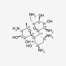 C[C@H]1O[C@@H]([C@@H]2[C@@H](O)[C@H](N)C[C@H](N)[C@H]2[C@H]2O[C@H](CN)[C@@H](O)[C@H](O)[C@H]2N)[C@H](O)[C@@H](O)[C@@H]1N